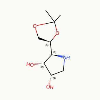 CC1(C)OC[C@H]([C@H]2NC[C@H](O)[C@@H]2O)O1